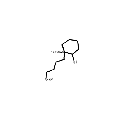 CCCCCCCCCCCC1(N)CCCCC1N